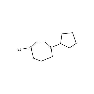 CCN1CCCN(C2CCCC2)CC1